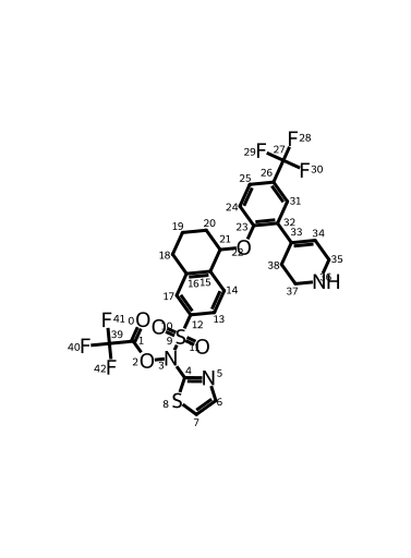 O=C(ON(c1nccs1)S(=O)(=O)c1ccc2c(c1)CCCC2Oc1ccc(C(F)(F)F)cc1C1=CCNCC1)C(F)(F)F